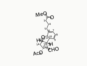 COC(=O)CCCC1=CC=CC2C1O[C@H]1C[C@@H](OC(C)=O)C(C=O)[C@@H]21